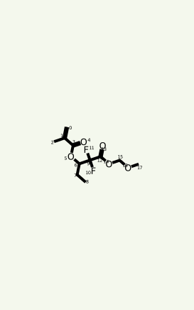 C=C(C)C(=O)OC(CC)C(F)(F)C(=O)OCOC